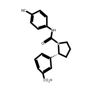 N#Cc1ccc(NC(=O)N2CCC[C@@H]2c2cccc(C(=O)O)c2)cc1